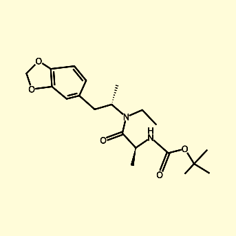 CCN(C(=O)[C@H](C)NC(=O)OC(C)(C)C)[C@@H](C)Cc1ccc2c(c1)OCO2